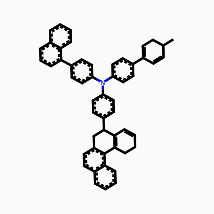 CC1C=CC(c2ccc(N(c3ccc(-c4cccc5ccccc45)cc3)c3ccc(C4Cc5ccc6ccccc6c5C5=C4C=CCC5)cc3)cc2)=CC1